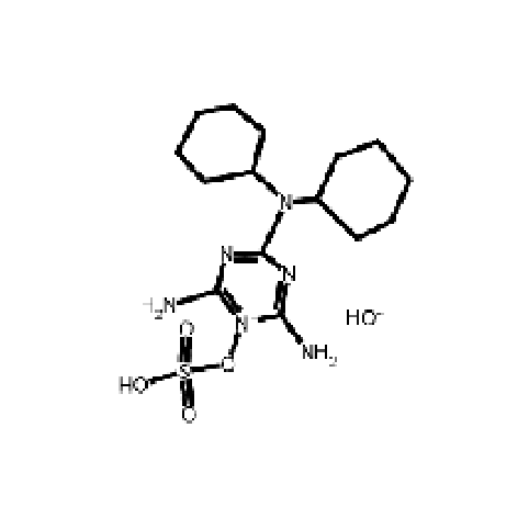 Nc1nc(N(C2CCCCC2)C2CCCCC2)nc(N)[n+]1OS(=O)(=O)O.[OH-]